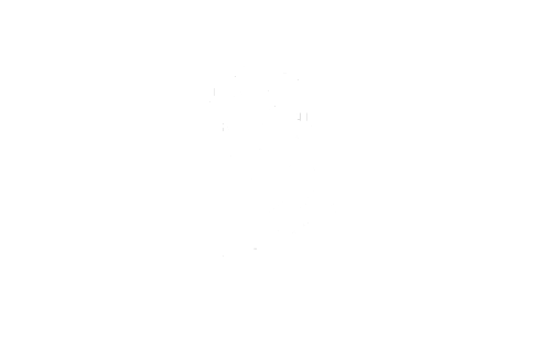 Bc1c(B)c(B)c(-c2c3ccccc3c(-c3cc(-c4ccccc4)cc4ccccc34)c3ccccc23)c(B)c1B